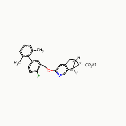 CCOC(=O)[C@H]1[C@@H]2Cc3cc(OCc4cc(-c5c(C)cccc5C)ccc4F)ncc3[C@@H]21